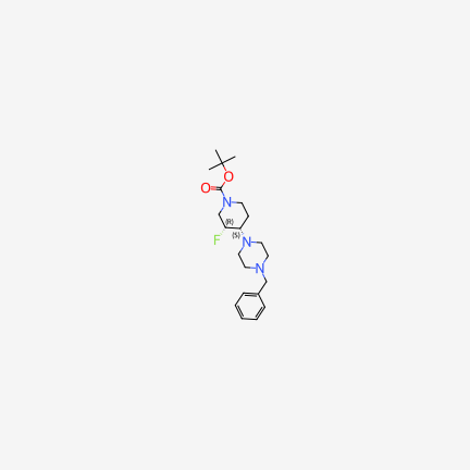 CC(C)(C)OC(=O)N1CC[C@H](N2CCN(Cc3ccccc3)CC2)[C@H](F)C1